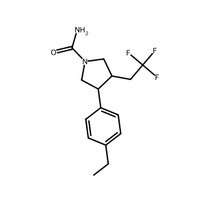 CCc1ccc(C2CN(C(N)=O)CC2CC(F)(F)F)cc1